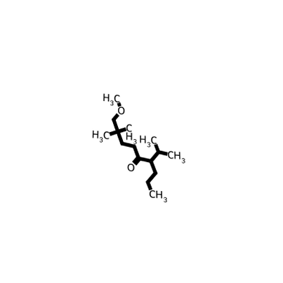 CCCC(C(=O)CCC(C)(C)COC)C(C)C